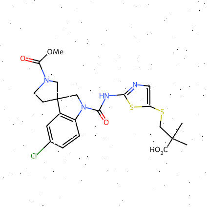 COC(=O)N1CCC2(C1)CN(C(=O)Nc1ncc(SCC(C)(C)C(=O)O)s1)c1ccc(Cl)cc12